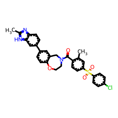 Cc1nc2ccc(-c3ccc4c(c3)CN(C(=O)c3ccc(S(=O)(=O)c5ccc(Cl)cc5)cc3C)CCO4)cc2[nH]1